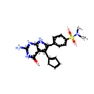 CN(C)S(=O)(=O)c1ccc(-c2[nH]c3nc(N)[nH]c(=O)c3c2C2=CCCC2)cc1